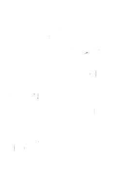 CC[C@H](C)Oc1cc2c(cc1OC)CC(=O)N(c1ccc(OC)cc1)[C@H]2c1ccc(Cl)cc1